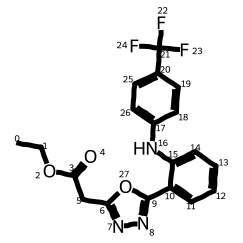 CCOC(=O)Cc1nnc(-c2ccccc2Nc2ccc(C(F)(F)F)cc2)o1